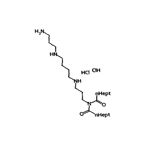 CCCCCCCC(=O)N(CCCNCCCCNCCCN)C(=O)CCCCCCC.Cl.Cl